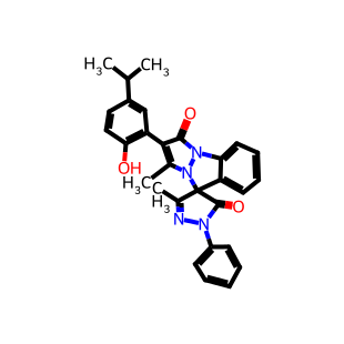 CC1=NN(c2ccccc2)C(=O)C12c1ccccc1-n1c(=O)c(-c3cc(C(C)C)ccc3O)c(C)n12